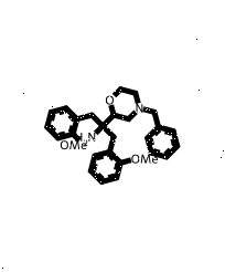 COc1ccccc1CC(N)(Cc1ccccc1OC)C1CN(Cc2ccccc2)CCO1